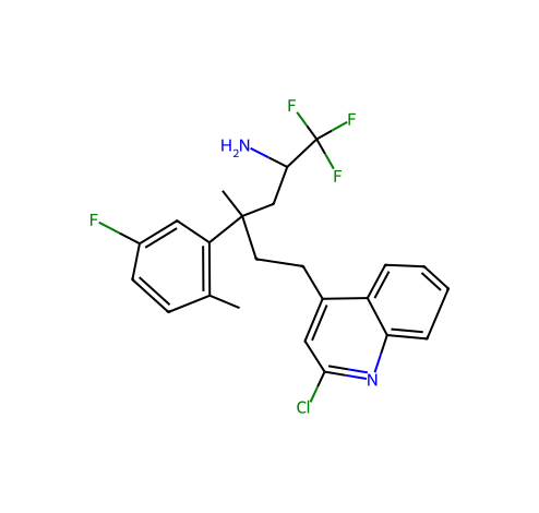 Cc1ccc(F)cc1C(C)(CCc1cc(Cl)nc2ccccc12)CC(N)C(F)(F)F